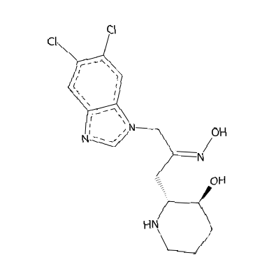 O/N=C(/C[C@H]1NCCC[C@@H]1O)Cn1cnc2cc(Cl)c(Cl)cc21